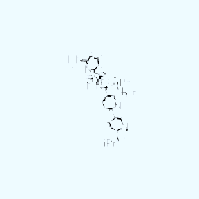 CCN(c1nc(-c2ccc(OC(C)C)nc2)ccc1C(=O)NS(=O)(=O)c1cccc(N)n1)C(C)C